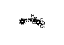 COC(=O)c1ccc(S(=O)(=O)NCCOCc2ccccc2)cc1F